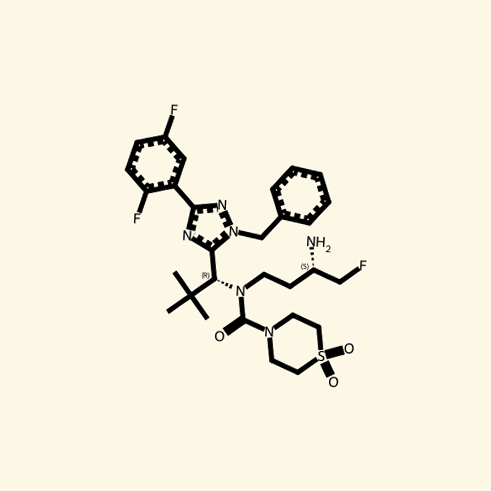 CC(C)(C)[C@H](c1nc(-c2cc(F)ccc2F)nn1Cc1ccccc1)N(CC[C@H](N)CF)C(=O)N1CCS(=O)(=O)CC1